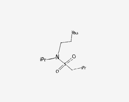 CCC(C)CCN(C(C)C)S(=O)(=O)CC(C)C